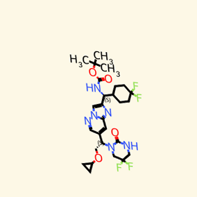 CC(C)(C)OC(=O)N[C@H](c1cn2ncc([C@@H](COC3CC3)N3CC(F)(F)CNC3=O)cc2n1)C1CCC(F)(F)CC1